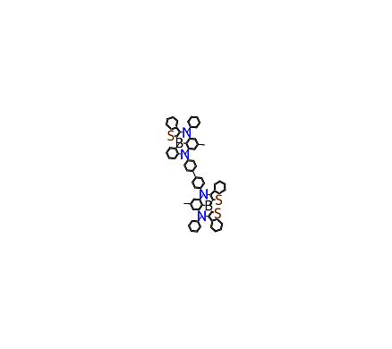 Cc1cc2c3c(c1)N(c1ccccc1)c1c(sc4ccccc14)B3c1ccccc1N2c1ccc(-c2ccc(N3c4cc(C)cc5c4B(c4sc6ccccc6c4N5c4ccccc4)c4sc5ccccc5c43)cc2)cc1